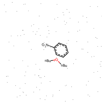 CCCCOCCCC.O=[N+]([O-])c1ccccc1